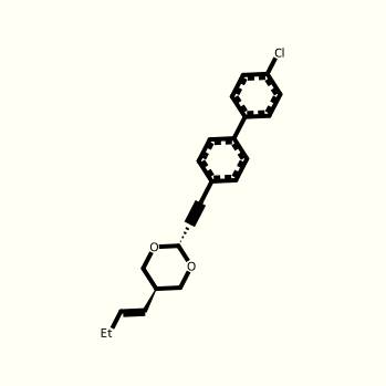 CC/C=C/[C@H]1CO[C@H](C#Cc2ccc(-c3ccc(Cl)cc3)cc2)OC1